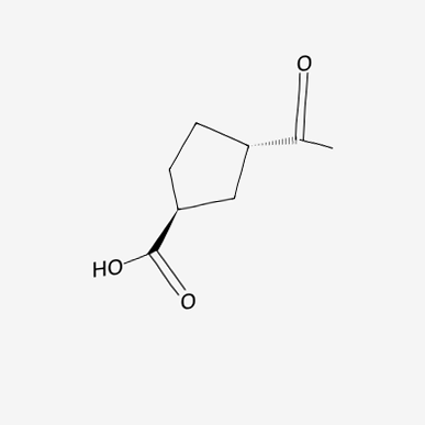 CC(=O)[C@H]1CC[C@H](C(=O)O)C1